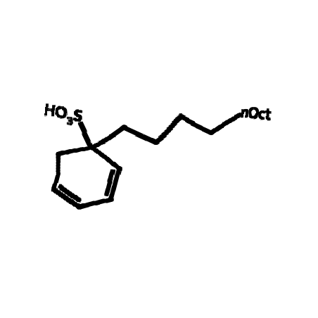 CCCCCCCCCCCCC1(S(=O)(=O)O)C=CC=CC1